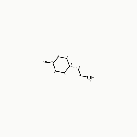 C[C@H]1CC[C@H](CCO)CC1